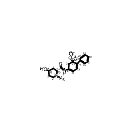 CC(=O)N1CC[C@@H](O)C[C@@H]1C(=O)NC1=CC=C(c2ccccc2)C(Cl)(OC(F)(F)F)C1